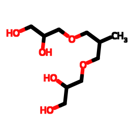 CC(COCC(O)CO)COCC(O)CO